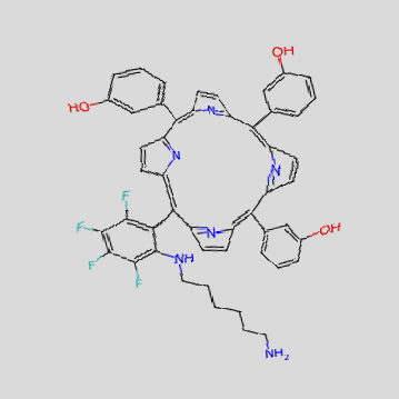 NCCCCCCNc1c(F)c(F)c(F)c(F)c1C1=C2C=CC(=N2)C(c2cccc(O)c2)=C2C=CC(=N2)C(c2cccc(O)c2)=C2C=CC(=N2)C(c2cccc(O)c2)=C2C=CC1=N2